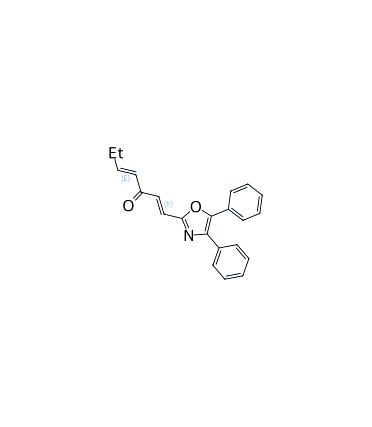 CC/C=C/C(=O)/C=C/c1nc(-c2ccccc2)c(-c2ccccc2)o1